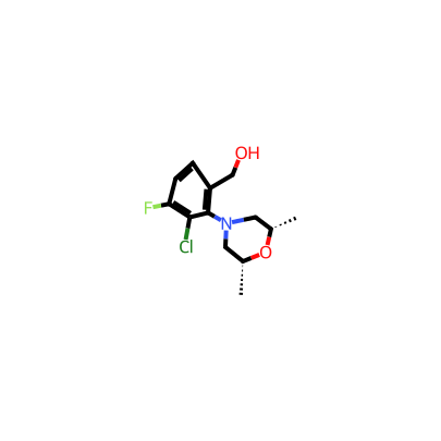 C[C@@H]1CN(c2c(CO)ccc(F)c2Cl)C[C@H](C)O1